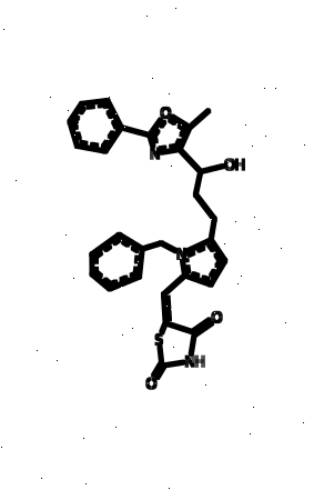 Cc1oc(-c2ccccc2)nc1C(O)CCc1ccc(C=C2SC(=O)NC2=O)n1Cc1ccccc1